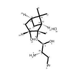 CC(C)C[C@H](N)B(O)O[C@]1(C)[C@H](O)C[C@@H]2C[C@H]1C2(C)C.Cl